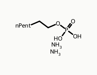 CCCCCCCOP(=O)(O)O.N.N